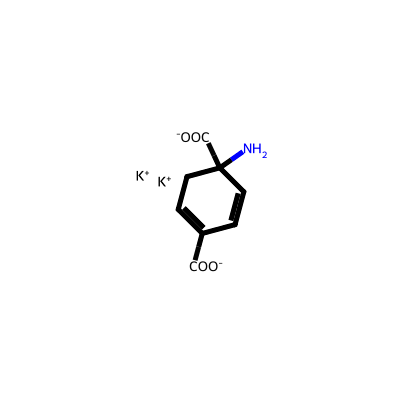 NC1(C(=O)[O-])C=CC(C(=O)[O-])=CC1.[K+].[K+]